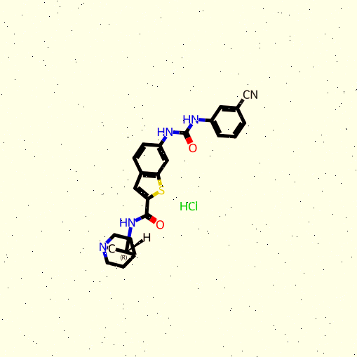 Cl.N#Cc1cccc(NC(=O)Nc2ccc3cc(C(=O)N[C@H]4CN5CCC4CC5)sc3c2)c1